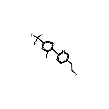 Cc1cc(C(F)(F)F)cnc1-c1ccc(CCF)cn1